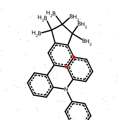 BC1(B)c2ccc(-c3ccccc3N(c3ccccc3)c3ccccc3)cc2C(B)(B)C1(B)B